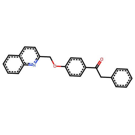 O=C(Cc1ccccc1)c1ccc(OCc2ccc3ccccc3n2)cc1